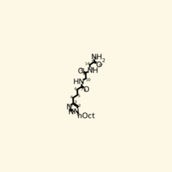 CCCCCCCCn1cc(CCCC(=O)NCC(=O)NCC(N)=O)nn1